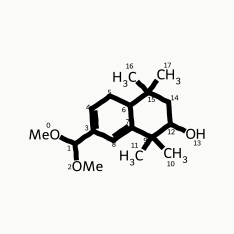 COC(OC)C1=CCC2C(=C1)C(C)(C)C(O)CC2(C)C